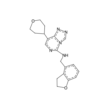 c1cc(CNc2ncc(C3CCOCC3)c3nncn23)c2c(c1)OCC2